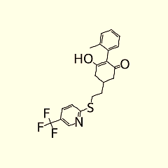 Cc1ccccc1C1=C(O)CC(CCSc2ccc(C(F)(F)F)cn2)CC1=O